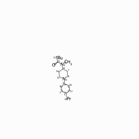 CC(C)c1ccc(N2CCC(N(C)C(=O)C(C)(C)C)CC2)cc1